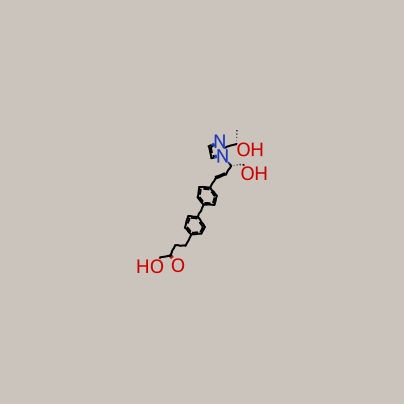 C[C@H](O)c1nccn1[C@@H](/C=C/c1ccc(-c2ccc(CCC(=O)CO)cc2)cc1)CO